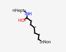 CCCCCCCCCCCCCCCC(O)NCCCCCCC